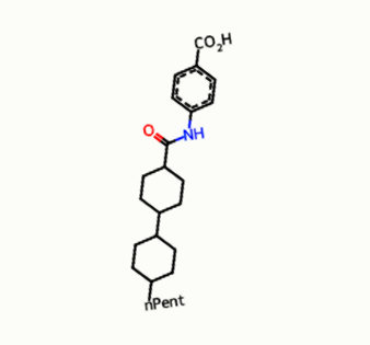 CCCCCC1CCC(C2CCC(C(=O)Nc3ccc(C(=O)O)cc3)CC2)CC1